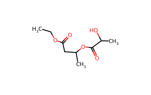 CCOC(=O)CC(C)OC(=O)C(C)O